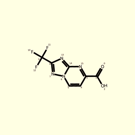 O=C(O)c1c[c]n2nc(C(F)(F)F)nc2n1